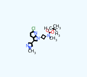 Cn1cc(-c2cn([C@H]3C[C@@H](N(C)C(=O)OC(C)(C)C)C3)c3nc(Cl)ccc23)cn1